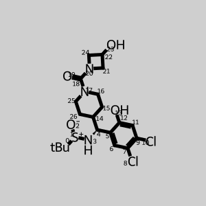 CC(C)(C)[S+]([O-])N[C@@H](c1cc(Cl)c(Cl)cc1O)C1CCN(C(=O)N2CC(O)C2)CC1